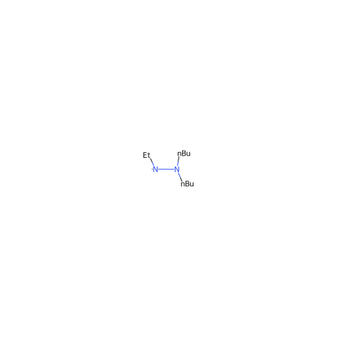 CCCCN(CCCC)[N]CC